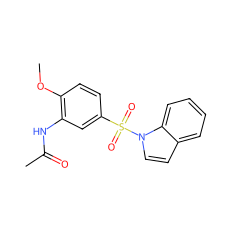 COc1ccc(S(=O)(=O)n2ccc3ccccc32)cc1NC(C)=O